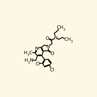 CCCN(CCC)C(=O)CN1Cc2nc(C)c(CN)c(-c3ccc(Cl)cc3Cl)c2C1=O